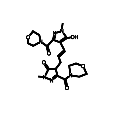 CN1N=C(C(=O)N2CCOCC2)C(CC=Cc2c(C(=O)N3CCOCC3)nn(C)c2O)C1=O